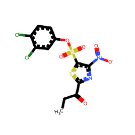 CCC(=O)c1nc([N+](=O)[O-])c(S(=O)(=O)Oc2ccc(Cl)c(Cl)c2)s1